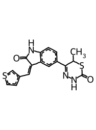 CC1SC(=O)NN=C1c1ccc2c(c1)C(=Cc1ccsc1)C(=O)N2